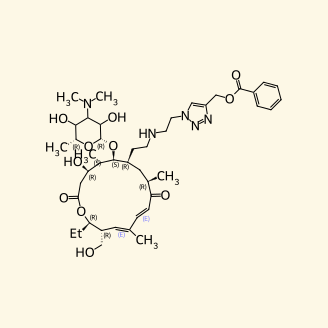 CC[C@H]1OC(=O)C[C@@H](O)[C@H](C)[C@@H](O[C@@H]2O[C@H](C)C(O)C(N(C)C)C2O)[C@@H](CCNCCn2cc(COC(=O)c3ccccc3)nn2)C[C@@H](C)C(=O)/C=C/C(C)=C/[C@@H]1CO